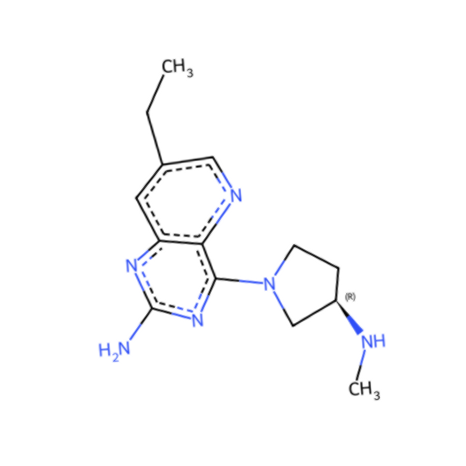 CCc1cnc2c(N3CC[C@@H](NC)C3)nc(N)nc2c1